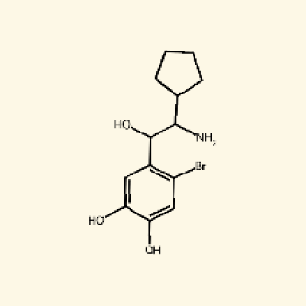 NC(C1CCCC1)C(O)c1cc(O)c(O)cc1Br